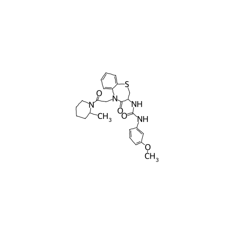 COc1cccc(NC(=O)NC2CSc3ccccc3N(CC(=O)N3CCCCC3C)C2=O)c1